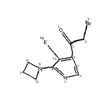 O=C(CBr)c1ccnc(N2CCC2)c1F